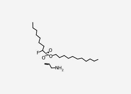 C=CCN.CCCCCCCCCCCOS(=O)(=O)C(F)CCCCCCC